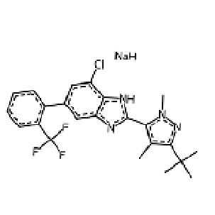 Cc1c(C(C)(C)C)nn(C)c1-c1nc2cc(-c3ccccc3C(F)(F)F)cc(Cl)c2[nH]1.[NaH]